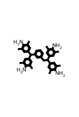 Cc1cc(C(Cc2cccc(C(c3cc(C)c(N)c(C)c3)c3cc(C)c(N)c(C)c3)c2)c2cc(C)c(N)c(C)c2)cc(C)c1N